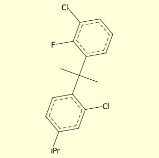 CC(C)c1ccc(C(C)(C)c2cccc(Cl)c2F)c(Cl)c1